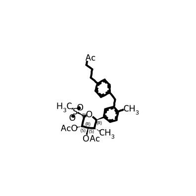 CC(=O)CCCc1ccc(Cc2cc([C@@H]3O[C@H](S(C)(=O)=O)[C@@H](OC(C)=O)[C@H](OC(C)=O)[C@H]3C)ccc2C)cc1